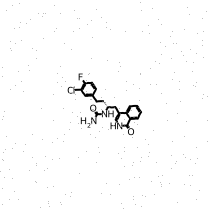 NC(=O)N[C@H](CCc1ccc(F)c(Cl)c1)Cc1c[nH]c(=O)c2ccccc12